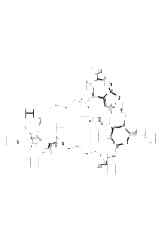 CCCCNc1nc(Cl)nc2cn(Cc3c(OC)cc(CN(C)CCCCNC(=O)OC(C)(C)C)cc3OC)nc12